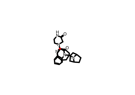 O=C1CN(c2nc3ccccc3n(C3CC4CCC(C3)N4C3CCCCCCC3)c2=O)CCN1